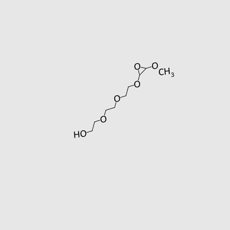 COC1OC1OCCOCCOCCO